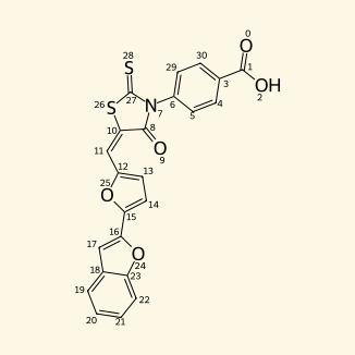 O=C(O)c1ccc(N2C(=O)C(=Cc3ccc(-c4cc5ccccc5o4)o3)SC2=S)cc1